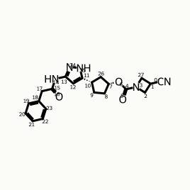 N#CC1CN(C(=O)O[C@@H]2CC[C@H](c3cc(NC(=O)Cc4ccccc4)n[nH]3)C2)C1